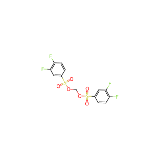 O=S(=O)(OCOS(=O)(=O)c1ccc(F)c(F)c1)c1ccc(F)c(F)c1